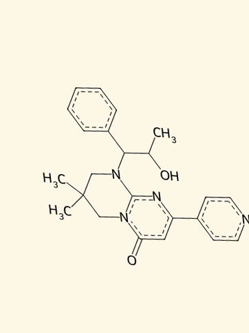 CC(O)C(c1ccccc1)N1CC(C)(C)Cn2c1nc(-c1ccncc1)cc2=O